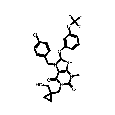 Cn1c2c(c(=O)n(CC3(CO)CC3)c1=O)N(Cc1ccc(Cl)cc1)C(Oc1cccc(OC(F)(F)F)c1)N2